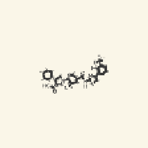 O=C(Nc1nc(-c2cccc(C(F)(F)F)c2F)cs1)c1cnc(N2C[C@@H](C(=O)O)[C@H](c3ccccc3)C2)c(Cl)c1